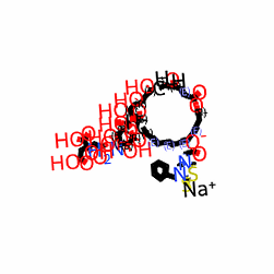 C[C@@H]1C/C=C/C=C/C=C/C=C/[C@H](O[C@@H]2O[C@H](C)[C@@H](O)[C@H](N)[C@@H]2O)C[C@@H]2O[C@](O)(C[C@@H](O)C[C@H]3O[C@@H]3/C=C/C(=O)O1)C[C@H](O)[C@H]2C(=O)O.O=C(O)CC(O)(CC(=O)O)C(=O)O.O=C([O-])CN1CSC(=S)N(Cc2ccccc2)C1.[Na+]